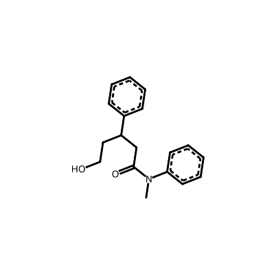 CN(C(=O)CC(CCO)c1ccccc1)c1ccccc1